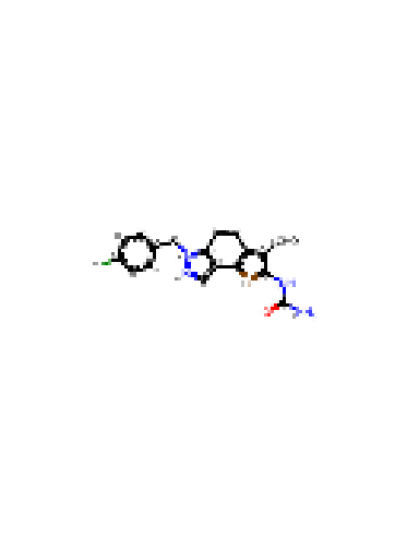 NC(=O)Nc1sc2c(c1C=O)CCc1c-2cnn1Cc1ccc(F)cc1